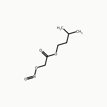 CC(C)CCOC(=O)CON=O